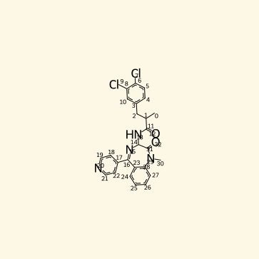 CC(Cc1ccc(Cl)c(Cl)c1)C(=O)NC1N=C(c2ccncc2)c2ccccc2N(C)C1=O